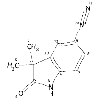 CC1(C)C(=O)Nc2ccc([N+]#N)cc21